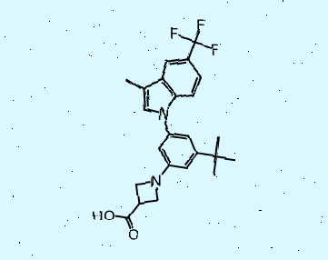 Cc1cn(-c2cc(N3CC(C(=O)O)C3)cc(C(C)(C)C)c2)c2ccc(C(F)(F)F)cc12